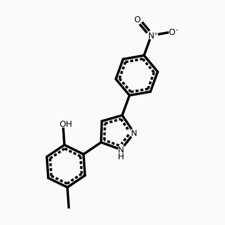 Cc1ccc(O)c(-c2cc(-c3ccc([N+](=O)[O-])cc3)n[nH]2)c1